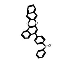 [O-][S+](c1ccccc1)c1ccc(-c2cc3c(c4ccccc24)Oc2cc4ccccc4cc2O3)cc1